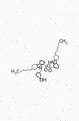 CCCCCCC1CCc2c([nH]c3c(C(=O)OC(=O)c4cccc5c6c(n(Cc7cccc(O)c7)c45)CC(CCCCCC)CC6)cccc23)C1